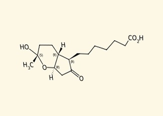 C[C@@]1(O)CC[C@H]2[C@@H](CC(=O)[C@@H]2CCCCCCC(=O)O)O1